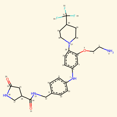 NCCOc1cc(Nc2ccc(CNC(=O)C3CNC(=O)C3)cc2)ccc1N1CCC(C(F)(F)F)CC1